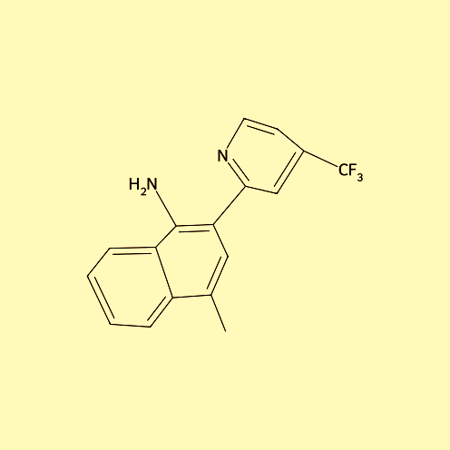 Cc1cc(-c2cc(C(F)(F)F)ccn2)c(N)c2ccccc12